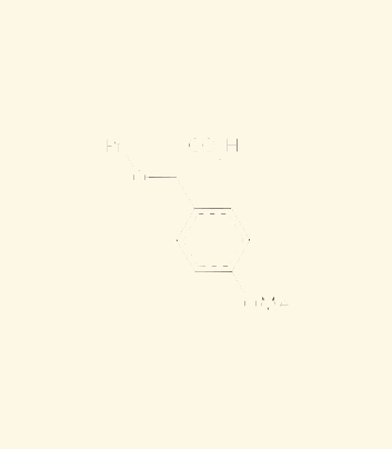 COc1ccc([C@H](OC(C)C)C(=O)O)cc1